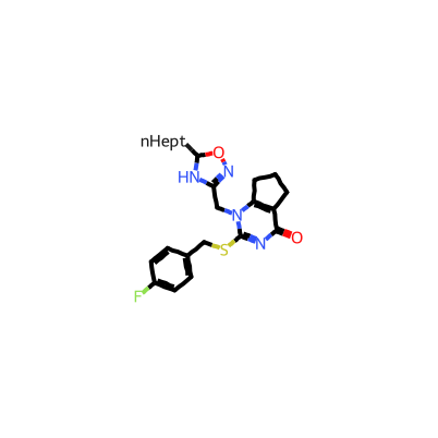 CCCCCCCC1NC(Cn2c(SCc3ccc(F)cc3)nc(=O)c3c2CCC3)=NO1